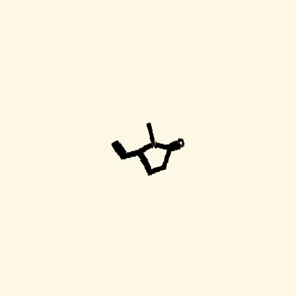 C=CC1CCC(=O)N1C